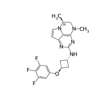 C[C@H]1CN(C)c2nc(N[C@H]3C[C@H](Oc4cc(F)c(F)c(F)c4)C3)nc3ccn1c23